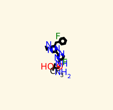 NC(=O)C(O)(CNc1nc(-c2cn3ccnc3c(Cc3ccccc3F)n2)ncc1F)C(F)(F)F